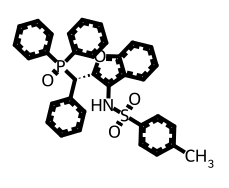 Cc1ccc(S(=O)(=O)Nc2c([C@H](c3ccccc3)P(=O)(c3ccccc3)c3ccccc3)oc3ccccc23)cc1